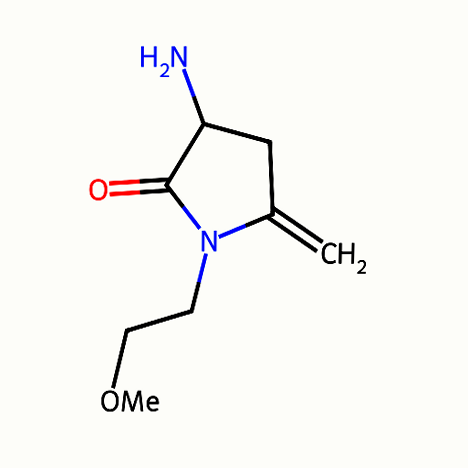 C=C1CC(N)C(=O)N1CCOC